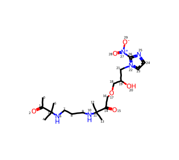 CC(=O)C(C)(C)NCCCNC(C)(C)C(=O)COCC(O)Cn1ccnc1[N+](=O)[O-]